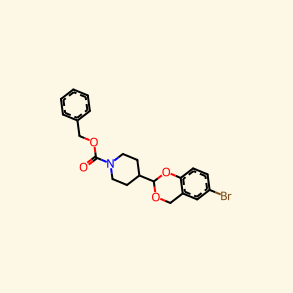 O=C(OCc1ccccc1)N1CCC(C2OCc3cc(Br)ccc3O2)CC1